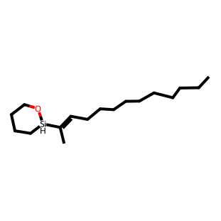 CCCCCCCCCCC=C(C)[SiH]1CCCCO1